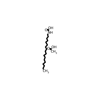 CC(=O)O.CCCCCCCCCCCCCCCCCCNC(=O)O